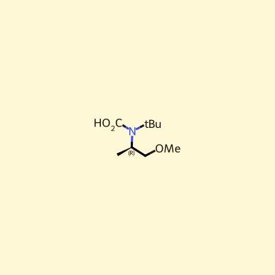 COC[C@@H](C)N(C(=O)O)C(C)(C)C